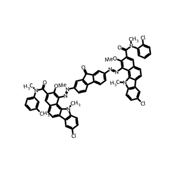 COc1c(C(=O)N(C)c2cccc(C)c2)cc2ccc3c4cc(Cl)ccc4n(C)c3c2c1N=Nc1ccc2c(c1)C(=O)c1cc(N=Nc3c(OC)c(C(=O)N(C)c4ccccc4Cl)cc4ccc5c6cc(Cl)ccc6n(C)c5c34)ccc1-2